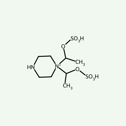 CC(OS(=O)(=O)O)[N+]1(C(C)OS(=O)(=O)O)CCNCC1